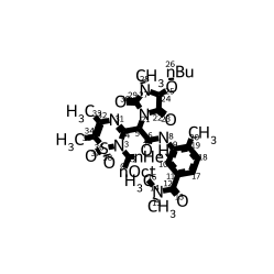 CCCCCCCCC(CCCCCC)N1C(C(C(=O)Nc2cc(C(=O)N(C)C)ccc2C)N2C(=O)C(OCCCC)N(C)C2=O)=NC(C)=C(C)S1(=O)=O